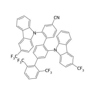 N#Cc1ccc(-c2ccc(-c3c(C(F)(F)F)cccc3C(F)(F)F)cc2-n2c3ccccc3c3cc(C(F)(F)F)ccc32)c(-n2c3ccccc3c3cc(C(F)(F)F)ccc32)c1